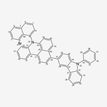 Brc1cccc2cccc(N3c4ccccc4-c4ccc(-c5ccc6c(c5)c5ccccc5n6-c5ccccc5)c5cccc3c45)c12